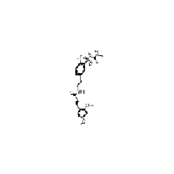 CNC(=S)NS(=O)(=O)c1cc(CCNC(=O)C=Cc2ccc(OC)cc2OC)ccc1OC